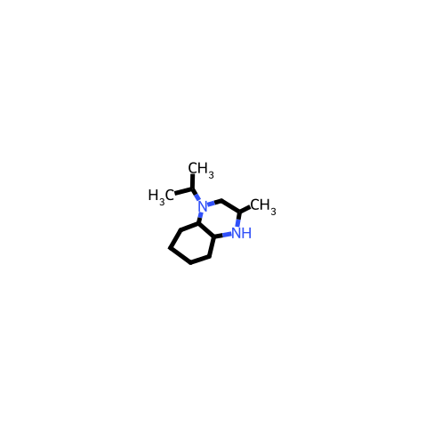 CC1CN(C(C)C)C2CCCCC2N1